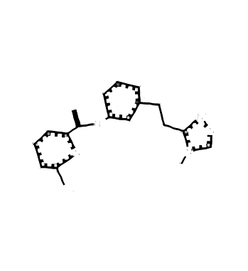 Cn1cnnc1CCc1cccc(NC(=O)c2cccc(C(C)(C)C)n2)c1